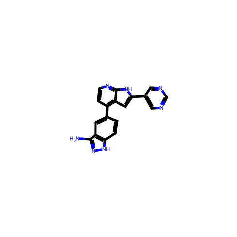 Nc1n[nH]c2ccc(-c3ccnc4[nH]c(-c5cncnc5)cc34)cc12